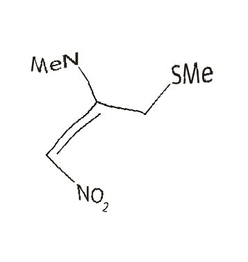 CN/C(=C/[N+](=O)[O-])CSC